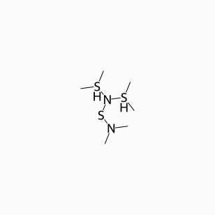 CN(C)SN([SH](C)C)[SH](C)C